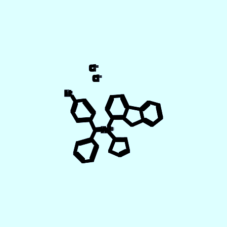 CCc1ccc(/[C](c2ccccc2)=[Zr+2](/[C]2=CC=CC2)[c]2cccc3c2Cc2ccccc2-3)cc1.[Cl-].[Cl-]